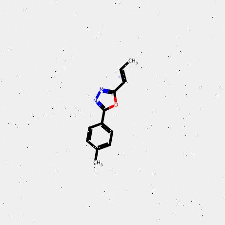 C/C=C/c1nnc(-c2ccc(C)cc2)o1